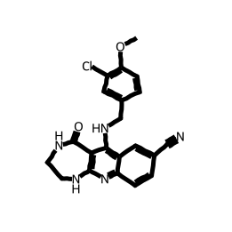 COc1ccc(CNc2c3c(nc4ccc(C#N)cc24)NCCNC3=O)cc1Cl